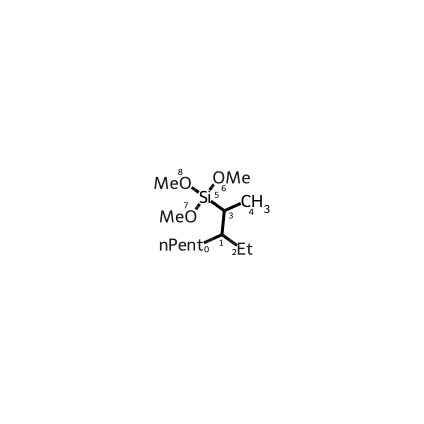 CCCCCC(CC)C(C)[Si](OC)(OC)OC